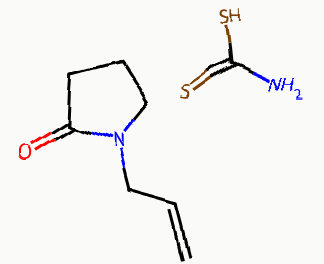 C=CCN1CCCC1=O.NC(=S)S